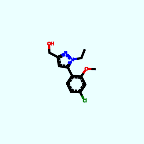 CCn1nc(CO)cc1-c1ccc(Cl)cc1OC